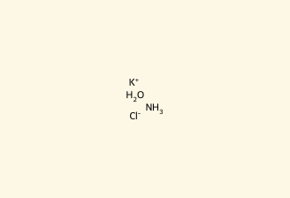 N.O.[Cl-].[K+]